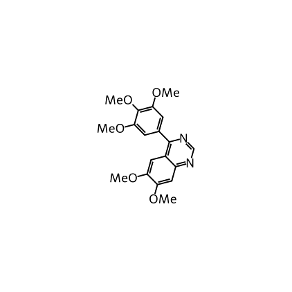 COc1cc2ncnc(-c3cc(OC)c(OC)c(OC)c3)c2cc1OC